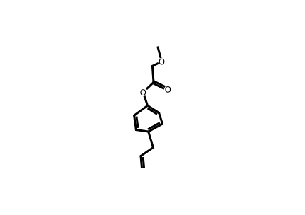 C=CCc1ccc(OC(=O)COC)cc1